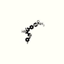 NC(=O)N1CCN(c2ccc(-c3cnc4[nH]cc(-c5cnn(Cc6cccc(F)c6)c5)c4c3)cc2)CC1